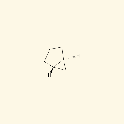 C1C[C@H]2C[C@@H]2C1